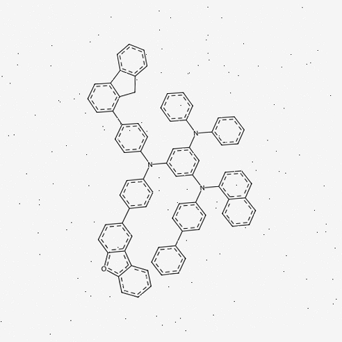 c1ccc(-c2ccc(N(c3cc(N(c4ccccc4)c4ccccc4)cc(N(c4ccc(-c5ccc6oc7ccccc7c6c5)cc4)c4ccc(-c5cccc6c5Cc5ccccc5-6)cc4)c3)c3cccc4ccccc34)cc2)cc1